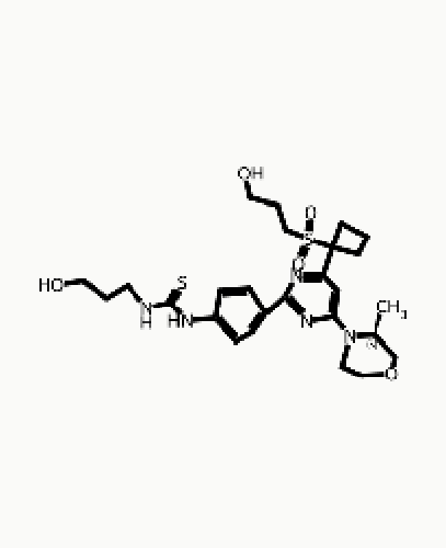 C[C@H]1COCCN1c1cc(C2(S(=O)(=O)CCCO)CCC2)nc(-c2ccc(NC(=S)NCCCO)cc2)n1